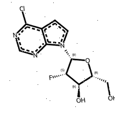 OC[C@H]1O[C@@H](n2ccc3c(Cl)ncnc32)[C@@H](F)[C@@H]1O